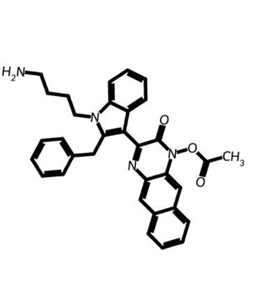 CC(=O)On1c(=O)c(-c2c(Cc3ccccc3)n(CCCCN)c3ccccc23)nc2cc3ccccc3cc21